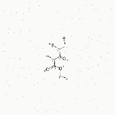 CCOC(=O)C(C)C(=O)C(F)CC